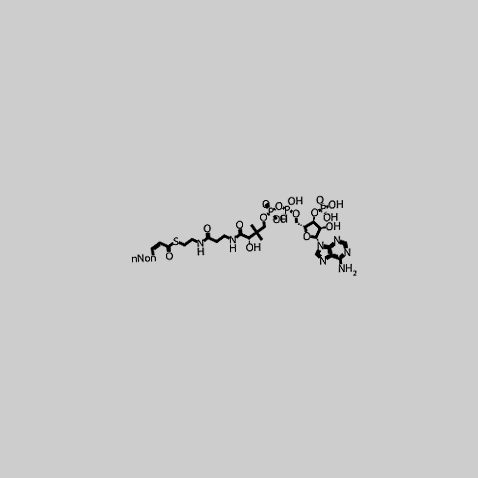 CCCCCCCCC/C=C\C(=O)SCCNC(=O)CCNC(=O)[C@@H](O)C(C)(C)COP(=O)(O)OP(=O)(O)OC[C@H]1O[C@@H](n2cnc3c(N)ncnc32)[C@H](O)[C@@H]1OP(=O)(O)O